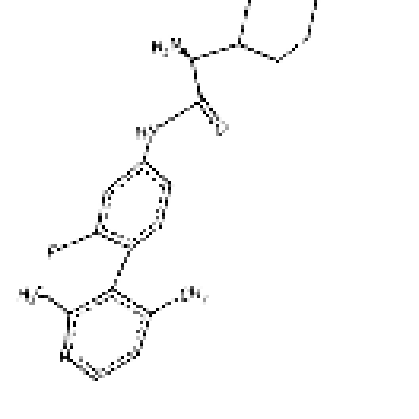 Cc1ccnc(C)c1-c1ccc(NC(=O)[C@@H](N)C2CCC(C(F)(F)F)CC2)cc1F